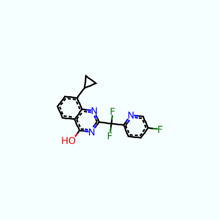 Oc1nc(C(F)(F)c2ccc(F)cn2)nc2c(C3CC3)cccc12